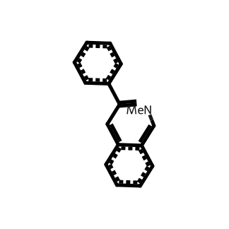 C=C(/C=c1/cccc/c1=C/NC)c1ccccc1